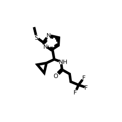 CSc1nccc(C(NC(=O)CCC(F)(F)F)C2CC2)n1